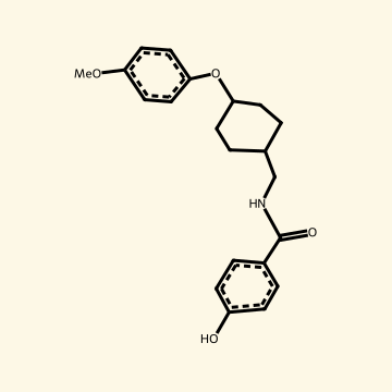 COc1ccc(OC2CCC(CNC(=O)c3ccc(O)cc3)CC2)cc1